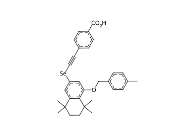 Cc1ccc(COc2cc([Se]C#Cc3ccc(C(=O)O)cc3)cc3c2C(C)(C)CCC3(C)C)cc1